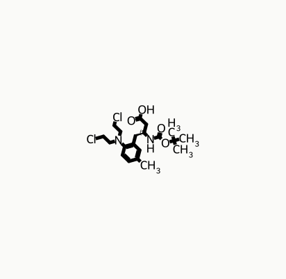 Cc1ccc(N(CCCl)CCCl)c(C[C@@H](CC(=O)O)NC(=O)OC(C)(C)C)c1